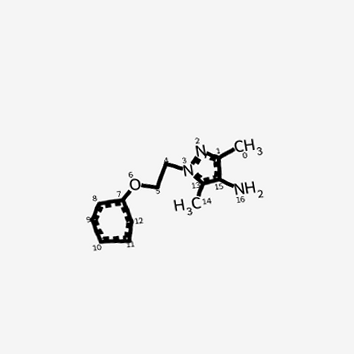 Cc1nn(CCOc2ccccc2)c(C)c1N